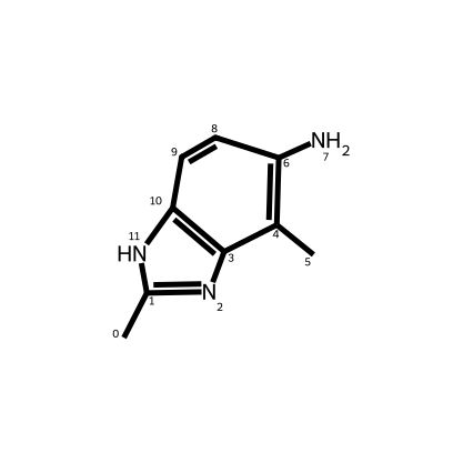 Cc1nc2c(C)c(N)ccc2[nH]1